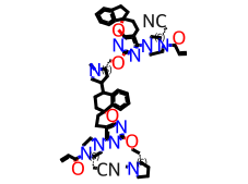 C=CC(=O)N1CCN(c2nc(OC[C@@H]3CC(C4CCC5(CCc6c(nc(OCC[C@@H]7CCCN7C)nc6N6CCN(C(=O)C=C)[C@@H](CC#N)C6)O5)c5ccccc54)CN3C)nc3c2CCC2(CCc4ccccc42)O3)C[C@@H]1CC#N